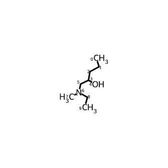 CCCC(O)CN(C)CC